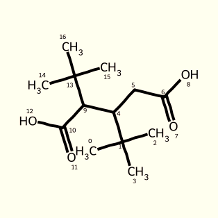 CC(C)(C)C(CC(=O)O)C(C(=O)O)C(C)(C)C